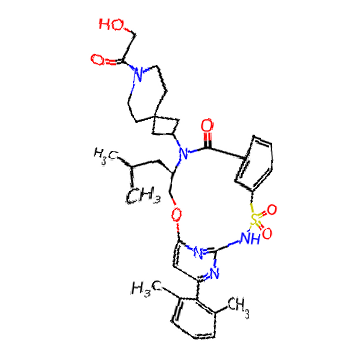 Cc1cccc(C)c1-c1cc2nc(n1)NS(=O)(=O)c1cccc(c1)C(=O)N(C1CC3(CCN(C(=O)CO)CC3)C1)[C@H](CC(C)C)CO2